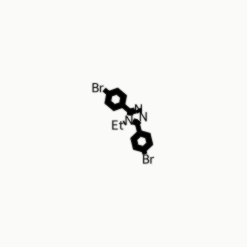 CCn1c(-c2ccc(Br)cc2)nnc1-c1ccc(Br)cc1